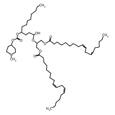 CCCCC/C=C\C/C=C\CCCCCCCC(=O)OCC(COC(=O)CCCCCCC/C=C\C/C=C\CCCCC)OC(O)CCC(CCCCCCCC)OC(=O)OC1CCN(C)CC1